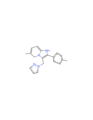 CC1=CC=C2NC(c3ccc(C)cc3)=C(Cn3cccn3)N2C1